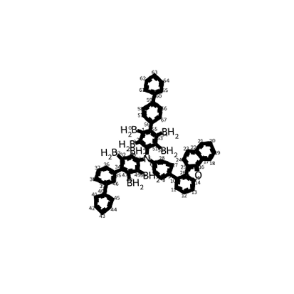 Bc1c(B)c(N(c2ccc(-c3cccc4oc5c6ccccc6ccc5c34)cc2)c2c(B)c(B)c(-c3cccc(-c4ccccc4)c3)c(B)c2B)c(B)c(B)c1-c1ccc(-c2ccccc2)cc1